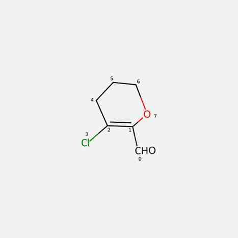 O=CC1=C(Cl)CCCO1